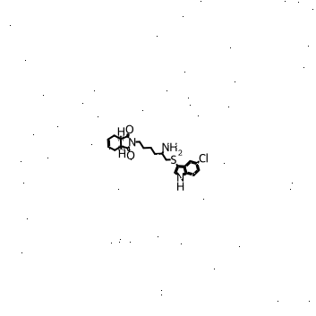 NC(CCCCN1C(=O)[C@H]2CC=CC[C@H]2C1=O)CSc1c[nH]c2ccc(Cl)cc12